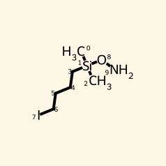 C[Si](C)(CCCCI)ON